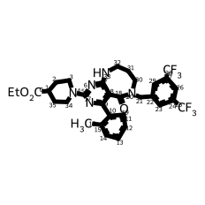 CCOC(=O)C1CCN(c2nc3c(c(-c4ccccc4C)n2)C(=O)N(Cc2cc(C(F)(F)F)cc(C(F)(F)F)c2)CCCN3)CC1